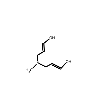 CN(CC=CO)CC=CO